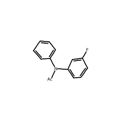 CC(=O)N(c1ccccc1)c1cccc(F)c1